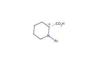 CC(=O)N1CCCC[C@@H]1C(=O)O